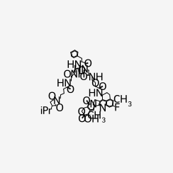 Cc1c(F)cc2nc3c(c4c2c1CC[C@H]4NC(=O)COCNC(=O)CNC(=O)C(Cc1ccccc1)NC(=O)CNC(=O)CNC(=O)CCCCN1C(=O)CC(C(C)C)C1=O)Cn1c-3cc2c(c1=O)COC(=O)[C@]2(C)O